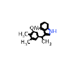 COc1cc(C(C)c2c[nH]c3ccccc23)cc(C)c1C